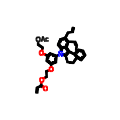 C=CCc1ccc2c(c1/C=C\C)c1c(n2-c2cc(OCCOC(C)=O)cc(OCCOC(=O)C=C)c2)CCc2ccccc2-1